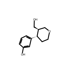 OC[C@H]1COCC[C@@H]1c1cccc(O)c1